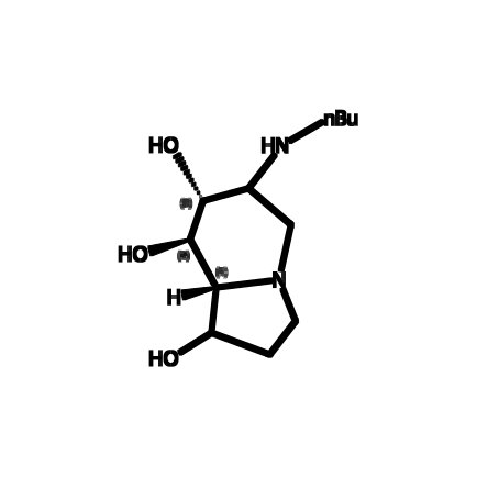 CCCCNC1CN2CCC(O)[C@@H]2[C@@H](O)[C@@H]1O